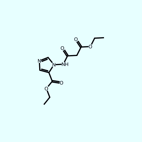 CCOC(=O)CC(=O)Nn1cncc1C(=O)OCC